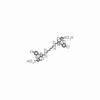 O=C(NCCCCCCNC(=O)c1nn(-c2ccc(Cl)cc2Cl)c2c1OCc1cc(S(=O)(=O)O)sc1-2)c1nn(-c2ccc(Cl)cc2Cl)c2c1COc1cc(S(=O)(=O)O)sc1-2